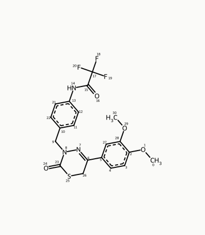 COc1ccc(C2=NN(Cc3ccc(NC(=O)C(F)(F)F)cc3)C(=O)SC2)cc1OC